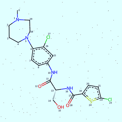 CN1CCCN(c2ccc(NC(=O)[C@@H](CO)NC(=O)c3ccc(Cl)s3)cc2Cl)CC1